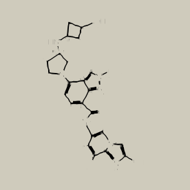 Cc1cn2cc(NC(=O)c3ccc(N4CC[C@@H](NC5CC(O)C5)C4)c4cn(C)nc34)cc(F)c2n1